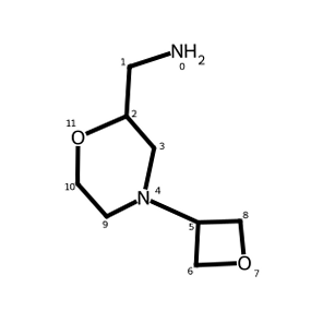 NCC1CN(C2COC2)CCO1